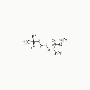 CCCC(SCCCC(C)(F)F)C(=O)OC(C)C